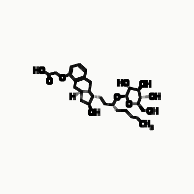 CCCCC[C@H](CC[C@H]1C2Cc3cccc(OCC(=O)O)c3C[C@@H]2C[C@@H]1O)O[C@@H]1O[C@H](CO)[C@@H](O)[C@H](O)[C@H]1O